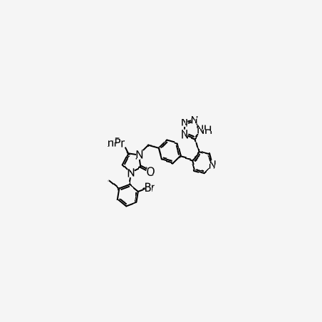 CCCc1cn(-c2c(C)cccc2Br)c(=O)n1Cc1ccc(-c2ccncc2-c2nnn[nH]2)cc1